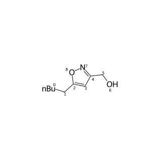 CCCCCc1cc(CO)no1